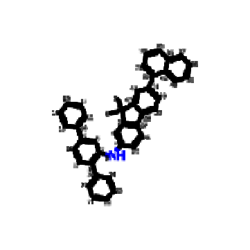 CC1(C)c2cc(Nc3cc(-c4ccccc4)ccc3-c3ccccc3)ccc2-c2ccc(-c3cccc4ccccc34)cc21